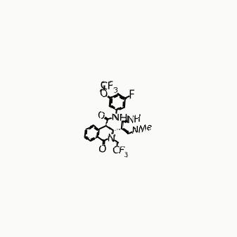 CN/C=C(\C=N)[C@H]1[C@H](C(=O)Nc2cc(F)cc(OC(F)(F)F)c2)c2ccccc2C(=O)N1CC(F)(F)F